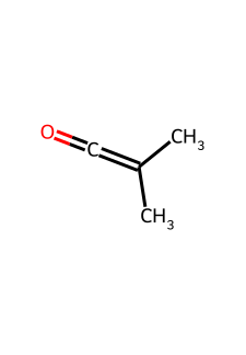 CC(C)=C=O